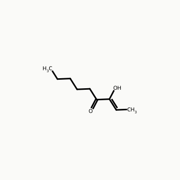 CC=C(O)C(=O)CCCCC